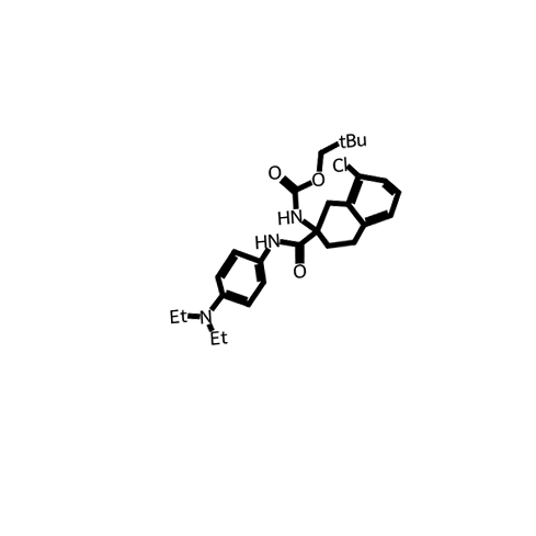 CCN(CC)c1ccc(NC(=O)C2(NC(=O)OCC(C)(C)C)CCc3cccc(Cl)c3C2)cc1